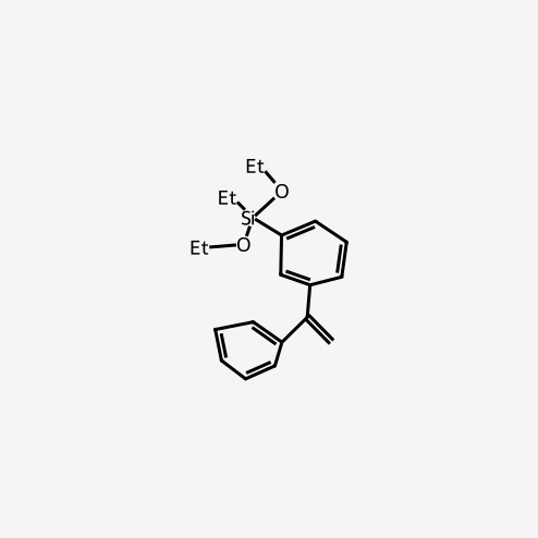 C=C(c1ccccc1)c1cccc([Si](CC)(OCC)OCC)c1